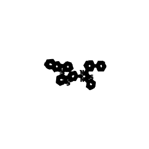 c1ccc(-c2cccc(-c3nc(-c4ccc5c(c4)sc4cccc(-n6c7ccccc7c7cc8ccccc8cc76)c45)nc4c3sc3ccccc34)c2)cc1